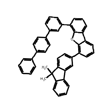 CC1(C)c2ccccc2-c2cc(-c3cccc4c3oc3c(-c5cccc(-c6ccc(-c7ccccc7)cc6)c5)cccc34)ccc21